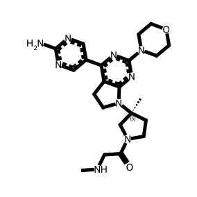 CNCC(=O)N1CC[C@](C)(N2CCc3c(-c4cnc(N)nc4)nc(N4CCOCC4)nc32)C1